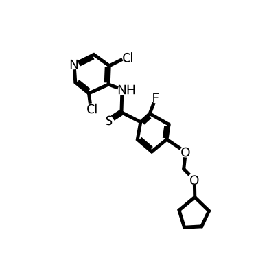 Fc1cc(OCOC2CCCC2)ccc1C(=S)Nc1c(Cl)cncc1Cl